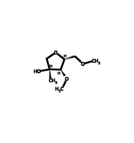 COC[C@H]1OC[C@](C)(O)[C@H]1OC